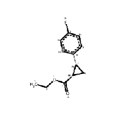 CCOC(=O)[C@@H]1C[C@H]1c1ccc(F)cn1